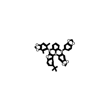 Cc1cc2c(c(C)c1N1c3cccc4c3B(c3cc5c(cc3N4c3ccc4c(c3)OCO4)OCO5)c3c1oc1ccc(C(C)(C)C)cc31)OCO2